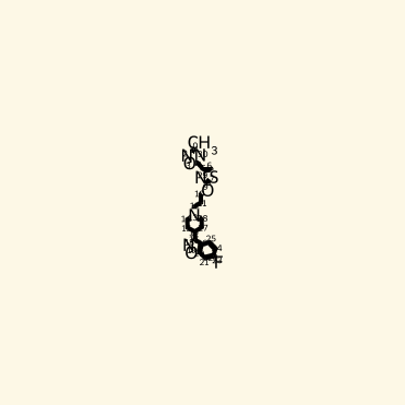 Cc1noc(-c2csc(OCCCN3CCC(c4noc5cc(F)ccc45)CC3)n2)n1